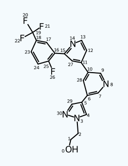 OCCn1cc(-c2cncc(-c3ccnc(-c4cc(C(F)(F)F)ccc4F)c3)c2)cn1